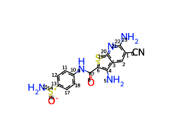 N#Cc1cc2c(N)c(C(=O)Nc3ccc([S+](N)[O-])cc3)sc2nc1N